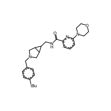 CC(C)(C)c1ccc(CN2CC3C(CNC(=O)c4[c]ccc(N5CCOCC5)n4)C3C2)cc1